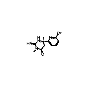 CN1C(=N)N[C@](C)(c2cccc(Br)n2)CC1=O